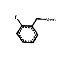 CCCC(C)Cc1ccccc1F